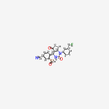 CN1C(=O)N(c2cccc(CF)c2)C2=C(C(=O)CC2)C1c1ccc(C#N)cc1[S+](C)[O-]